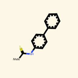 CNC(=S)Nc1ccc(-c2ccccc2)cc1